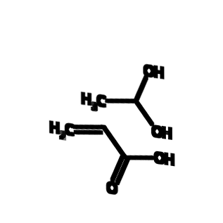 C=CC(=O)O.CC(O)O